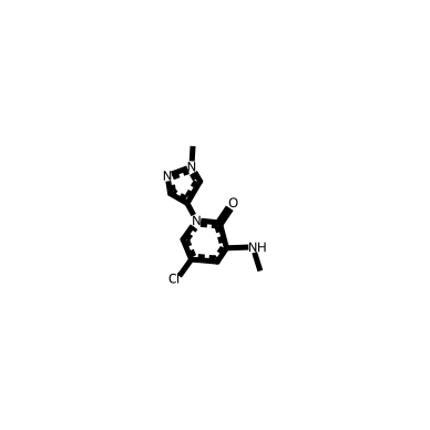 CNc1cc(Cl)cn(-c2cnn(C)c2)c1=O